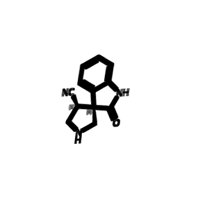 N#C[C@@H]1CNC[C@@]12C(=O)Nc1ccccc12